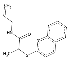 C=CCNC(=O)C(C)Sc1ccc2ccccc2n1